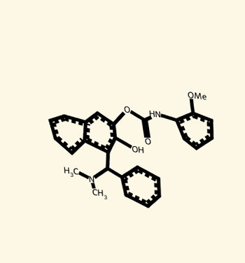 COc1ccccc1NC(=O)Oc1cc2ccccc2c(C(c2ccccc2)N(C)C)c1O